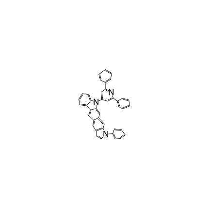 c1ccc(-c2cc(-n3c4ccccc4c4cc5cc6ccn(-c7ccccc7)c6cc5cc43)cc(-c3ccccc3)n2)cc1